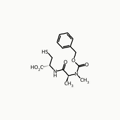 C[C@@H](C(=O)N[C@@H](CS)C(=O)O)N(C)C(=O)OCc1ccccc1